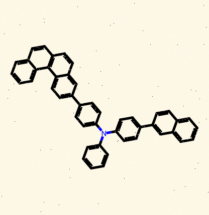 c1ccc(N(c2ccc(-c3ccc4ccccc4c3)cc2)c2ccc(-c3ccc4c(ccc5ccc6ccccc6c54)c3)cc2)cc1